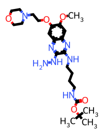 COc1cc2nc(NCCCCNC(=O)OC(C)(C)C)c(NN)nc2cc1OCCN1CCOCC1